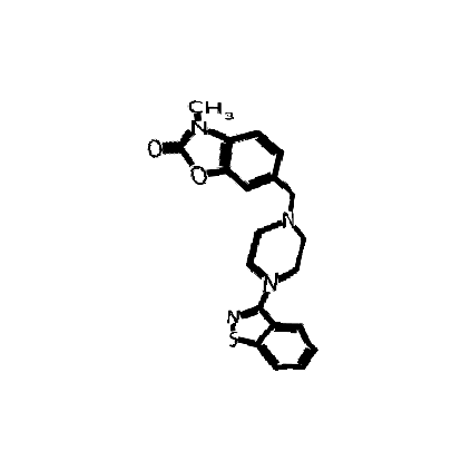 Cn1c(=O)oc2cc(CN3CCN(c4nsc5ccccc45)CC3)ccc21